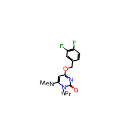 CCCn1c(NC)cc(OCc2ccc(F)c(F)c2)nc1=O